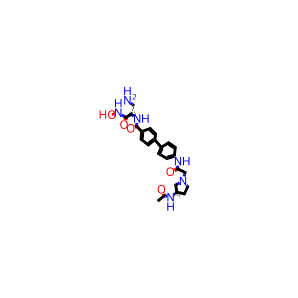 CC(=O)N[C@@H]1CCN(CC(=O)Nc2ccc(-c3ccc(C(=O)N[C@@H](CN)C(=O)NO)cc3)cc2)C1